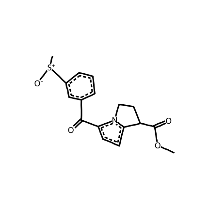 COC(=O)C1CCn2c(C(=O)c3cccc([S+](C)[O-])c3)ccc21